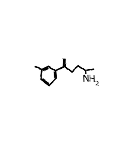 C=C(CCC(C)N)c1cccc(C)c1